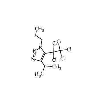 CCCn1nnc(C(C)C)c1C(Cl)(Cl)C(Cl)(Cl)Cl